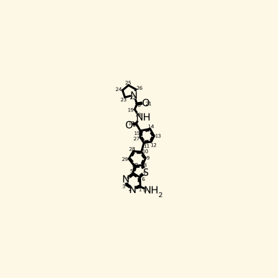 Nc1ncnc2c1sc1cc(-c3cccc(C(=O)NCC(=O)N4CCCC4)c3)ccc12